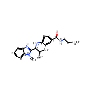 CCCC(CCC)C(Nc1ccc(C(=O)NCCC(=O)O)cc1)c1nc2ccccc2n1C